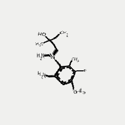 Cc1cc(N)c(N(N)CC(C)(C)O)c(C)c1F